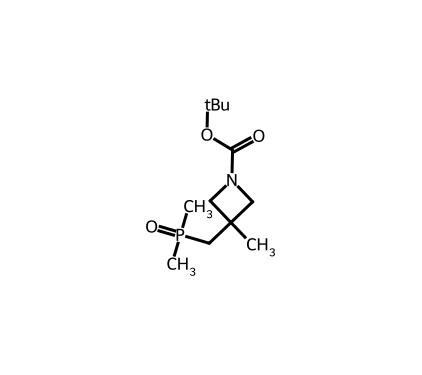 CC1(CP(C)(C)=O)CN(C(=O)OC(C)(C)C)C1